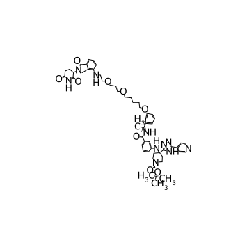 C[C@@H](NC(=O)c1cccc(NC2(c3nnc(-c4ccncc4)[nH]3)CCN(C(=O)OC(C)(C)C)CC2)c1)c1cccc(OCCCCCOCCCOCCNc2cccc3c2CN(C2CCC(=O)NC2=O)C3=O)c1